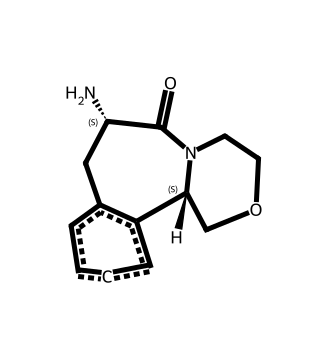 N[C@H]1Cc2ccccc2[C@H]2COCCN2C1=O